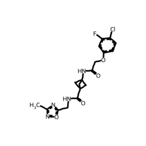 Cc1noc(CNC(=O)C23CC(NC(=O)COc4ccc(Cl)c(F)c4)(C2)C3)n1